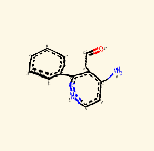 Nc1ccnc(-c2ccccc2)c1C=O